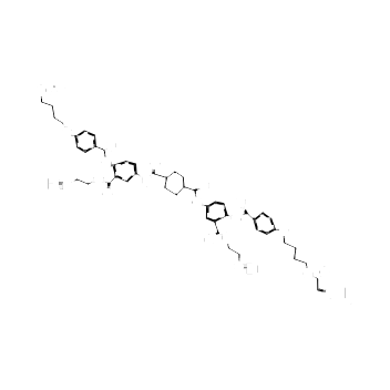 C=CC(=O)OCCCCOc1ccc(C(=O)Oc2ccc(OC(=O)C3CCC(C(=O)Oc4ccc(OC(=O)c5ccc(OCCCCOC(C)=O)cc5)c(C(=O)OCCOCC)c4)CC3)cc2C(=O)OCCOCC)cc1